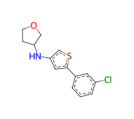 Clc1cccc(-c2cc(NC3CCOC3)cs2)c1